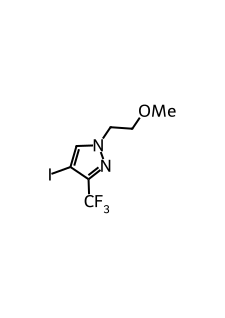 COCCn1cc(I)c(C(F)(F)F)n1